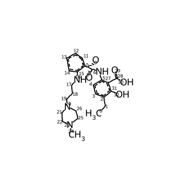 CCc1ccc(NS(=O)(=O)c2ccccc2NCCCN2CCN(C)CC2)c(C(=O)O)c1O